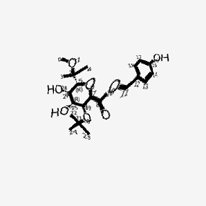 COC(C)(C)[C@@H]1OC(C(=O)OCc2ccc(O)cc2)[C@@H](OC(C)(C)C)[C@H](O)[C@@H]1O